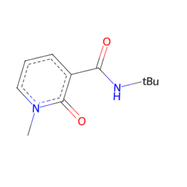 Cn1cccc(C(=O)NC(C)(C)C)c1=O